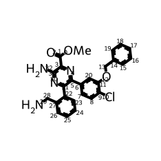 COC(=O)c1nc(-c2ccc(Cl)c(OCc3ccccc3)c2)c(-c2ccccc2CN)nc1N